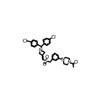 CC(=O)N1CCN(c2cccc(CS(=O)(=O)C=C3CN(C(c4ccc(Cl)cc4)c4ccc(Cl)cc4)C3)c2)CC1